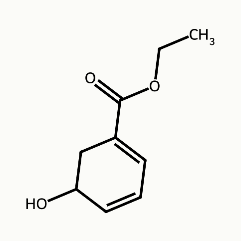 CCOC(=O)C1=CC=CC(O)C1